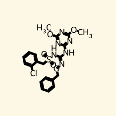 COc1nc(NC(=NOCc2ccccc2)NS(=O)(=O)Cc2ccccc2Cl)nc(OC)n1